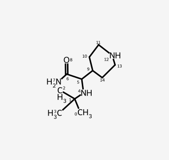 CC(C)(C)NC(C(N)=O)C1CCNCC1